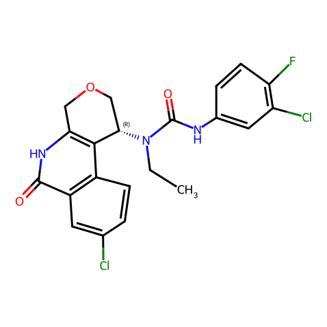 CCN(C(=O)Nc1ccc(F)c(Cl)c1)[C@H]1COCc2[nH]c(=O)c3cc(Cl)ccc3c21